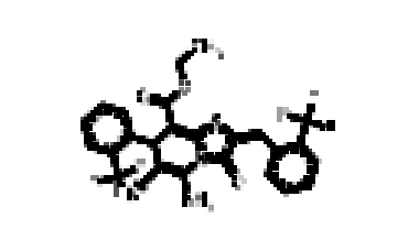 CCOC(=O)C1=c2s/c(=C/c3ccccc3C(F)(F)F)c(=O)n2C(N)=C(C#N)C1c1ccccc1C(F)(F)F